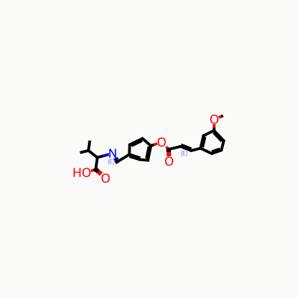 COc1cccc(/C=C/C(=O)Oc2ccc(/C=N/C(C(=O)O)C(C)C)cc2)c1